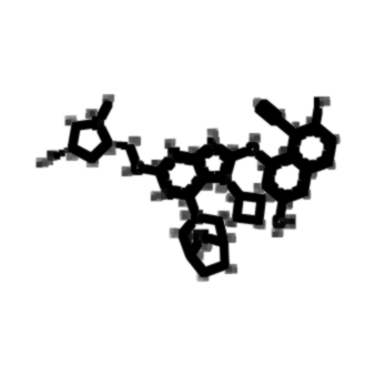 C#Cc1c(F)ccc2cc(O)cc(Oc3nc4nc(OC[C@@H]5C[C@H](F)CN5C)nc(N5CC6CCC(C5)N6)c4n3C3CCC3)c12